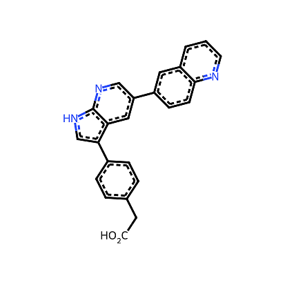 O=C(O)Cc1ccc(-c2c[nH]c3ncc(-c4ccc5ncccc5c4)cc23)cc1